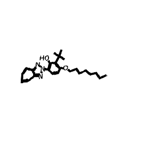 CCCCCCCCOc1ccc(-n2nc3ccccc3n2)c(O)c1C(C)(C)C